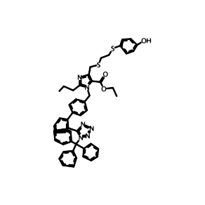 CCCc1nc(CSCCSc2ccc(O)cc2)c(C(=O)OCC)n1Cc1ccc(-c2ccccc2-c2nnnn2C(c2ccccc2)(c2ccccc2)c2ccccc2)cc1